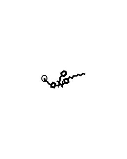 CCCCCCCCc1ccc(CN(Cc2ccc(CCC=O)cc2)C(C)/C=C/c2ccccc2)cc1